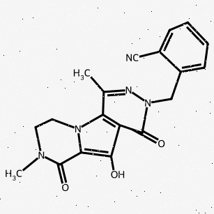 Cc1nn(Cc2ccccc2C#N)c(=O)c2c(O)c3n(c12)CCN(C)C3=O